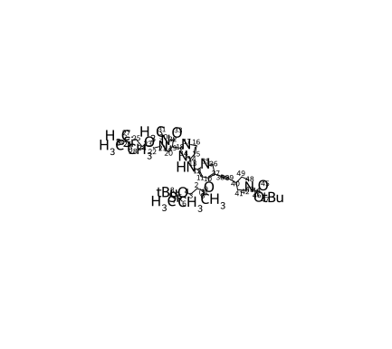 C[C@@H](CCO[Si](C)(C)C(C)(C)C)Oc1cc(Nc2ccnc(-c3cn(COCC[Si](C)(C)C)n(C)c3=O)n2)ncc1C#CC1CCN(C(=O)OC(C)(C)C)CC1